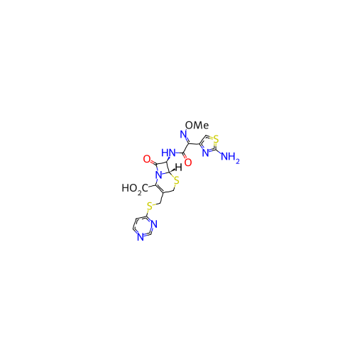 CON=C(C(=O)N[C@@H]1C(=O)N2C(C(=O)O)=C(CSc3ccncn3)CS[C@@H]12)c1csc(N)n1